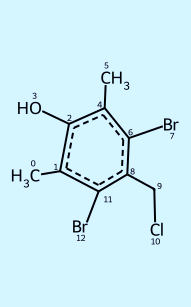 Cc1c(O)c(C)c(Br)c(CCl)c1Br